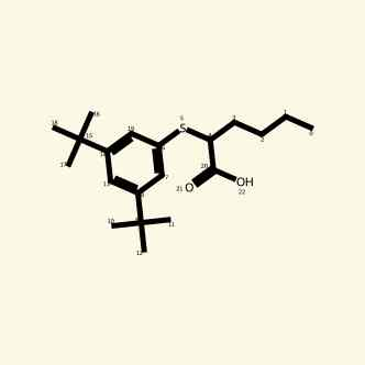 CCCCC(Sc1cc(C(C)(C)C)cc(C(C)(C)C)c1)C(=O)O